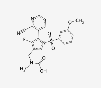 COc1cccc(S(=O)(=O)n2cc(CN(C)C(=O)O)c(F)c2-c2cccnc2C#N)c1